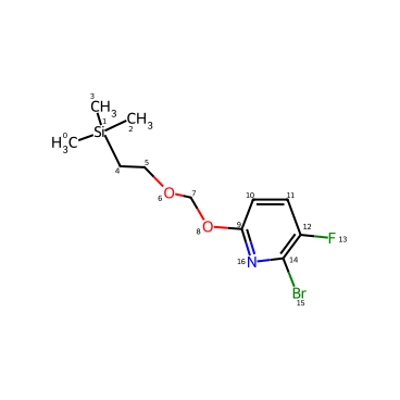 C[Si](C)(C)CCOCOc1ccc(F)c(Br)n1